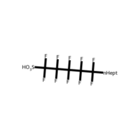 CCCCCCCC(F)(F)C(F)(F)C(F)(F)C(F)(F)C(F)(F)S(=O)(=O)O